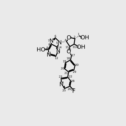 OC[C@H]1O[C@@H](n2cnc3c(O)ncnc32)C(OCc2ccc(-c3cncc(F)c3)cc2)C1O